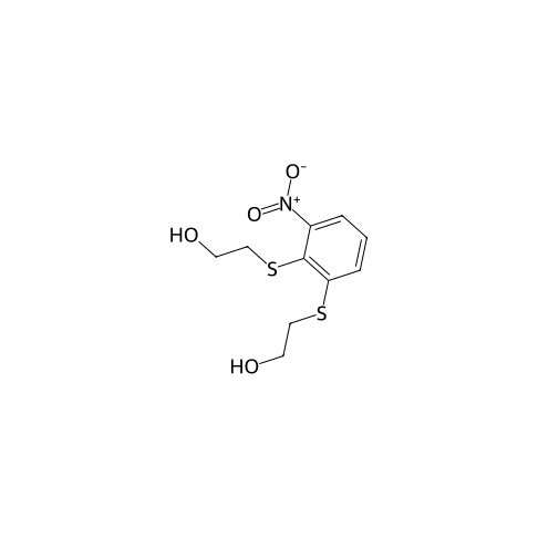 O=[N+]([O-])c1cccc(SCCO)c1SCCO